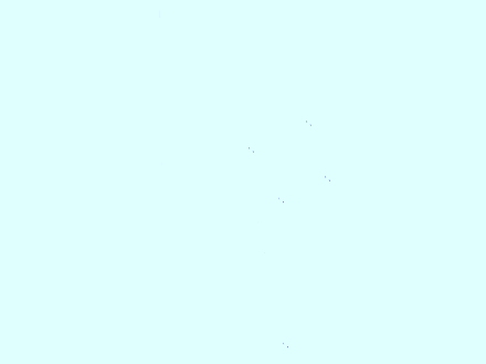 COc1ccc(-c2cnc3ncn(C=C4C=Cc5ncccc5C4)c3n2)c(OC)c1